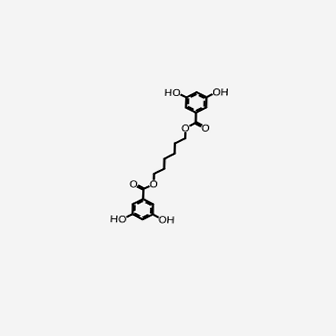 O=C(OCCCCCCOC(=O)c1cc(O)cc(O)c1)c1cc(O)cc(O)c1